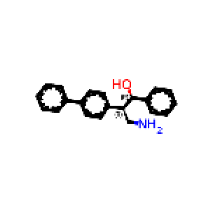 NC[C@@H](c1ccc(-c2ccccc2)cc1)[C@@H](O)c1ccccc1